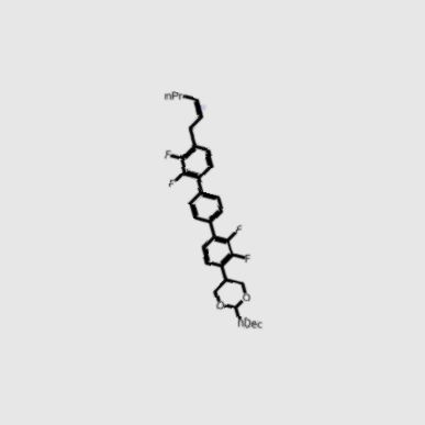 CCC/C=C\Cc1ccc(-c2ccc(-c3ccc(C4COC(CCCCCCCCCC)OC4)c(F)c3F)cc2)c(F)c1F